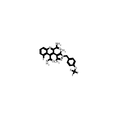 Cc1nn(Cc2ccc(OC(F)(F)F)cc2)c(C)c1-c1c(C(N)=O)nc2cccc(F)c2c1C(N)=O